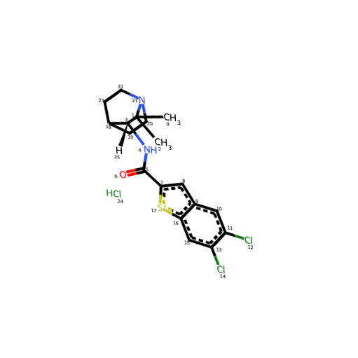 CC1(C)[C@H](NC(=O)c2cc3cc(Cl)c(Cl)cc3s2)C2CCN1CC2.Cl